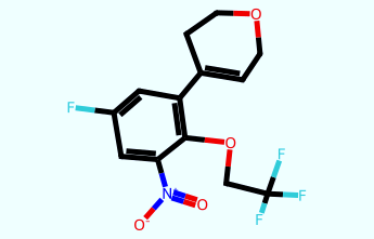 O=[N+]([O-])c1cc(F)cc(C2=CCOCC2)c1OCC(F)(F)F